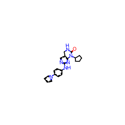 O=C1NCc2cnc(Nc3ccc(-n4cccc4)cc3)nc2N1C1CCCC1